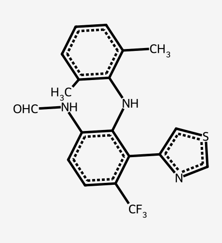 Cc1cccc(C)c1Nc1c(NC=O)ccc(C(F)(F)F)c1-c1cscn1